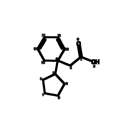 O=C(O)CC1(C2CCCC2)C=CC=CC1